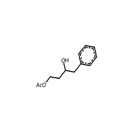 CC(=O)OCCC(O)Cc1ccccc1